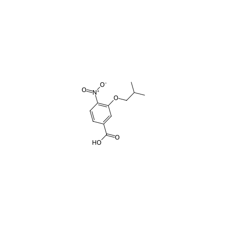 CC(C)COc1cc(C(=O)O)ccc1[N+](=O)[O-]